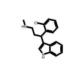 CNCCC(c1ccccc1Cl)c1c[nH]c2ccccc12